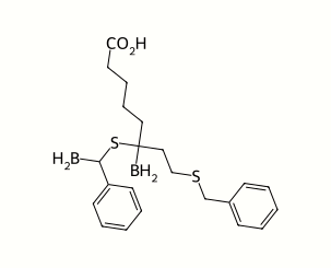 BC(SC(B)(CCCCC(=O)O)CCSCc1ccccc1)c1ccccc1